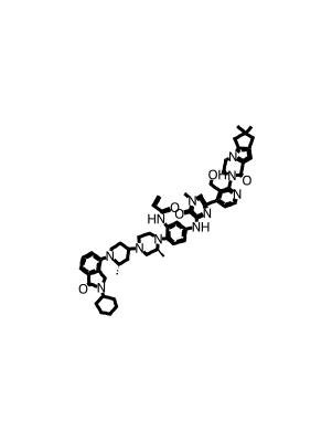 C=CC(=O)Nc1cc(Nc2nc(-c3ccnc(N4CCn5c(cc6c5CC(C)(C)C6)C4=O)c3CO)cn(C)c2=O)ccc1N1CCN(C2CCN(c3cccc4c3CN(C3CCCCC3)C4=O)[C@@H](C)C2)C[C@@H]1C